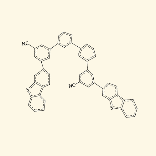 N#Cc1cc(-c2cccc(-c3cccc(-c4cc(C#N)cc(-c5ccc6c(c5)sc5ccccc56)c4)c3)c2)cc(-c2ccc3c(c2)sc2ccccc23)c1